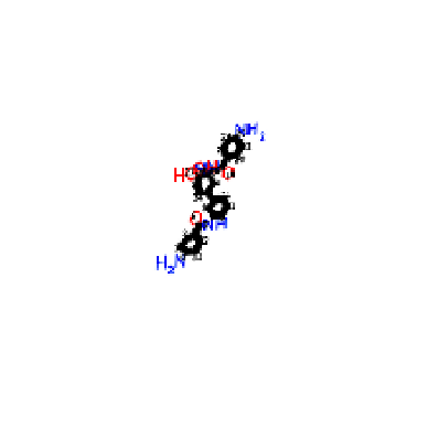 Nc1ccc(C(=O)Nc2cccc(C3=CC(NC(=O)c4ccc(N)cc4)C(O)(O)C=C3)c2)cc1